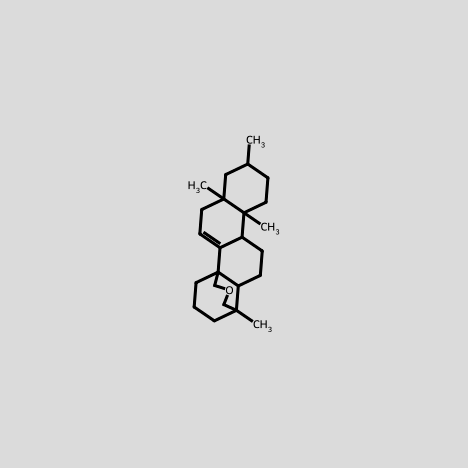 CC1CCC2(C)C3CCC4C5(C)CCCC4(COC5)C3=CCC2(C)C1